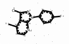 Fc1ccc(-n2nc(Cl)c3c(I)ccnc32)cc1